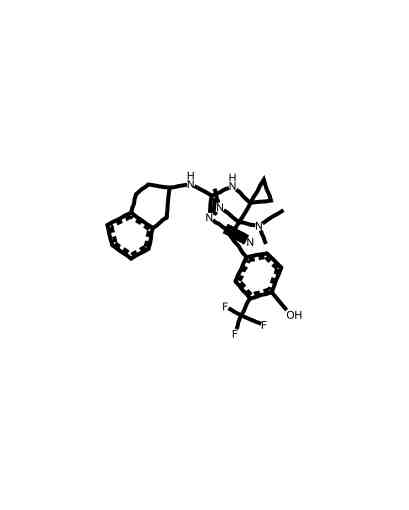 CN(C)C(Cc1ccc(O)c(C(F)(F)F)c1)(N(C)C)C1(NC(=NC#N)NC2CCc3ccccc3C2)CC1